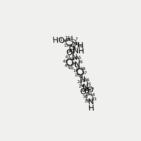 O=C(NC1[C@@H]2CC3C[C@H]1CC(O)(C3)C2)N1CCN(c2ccc(N3CCN(S(=O)(=O)C4CCNCC4)CC3)cc2)c2ccccc21